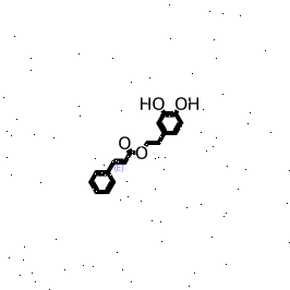 O=C(/C=C/c1ccccc1)OCCc1ccc(O)c(O)c1